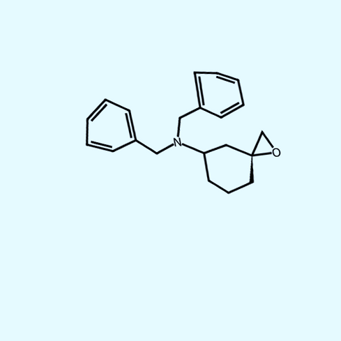 c1ccc(CN(Cc2ccccc2)C2CCC[C@]3(CO3)C2)cc1